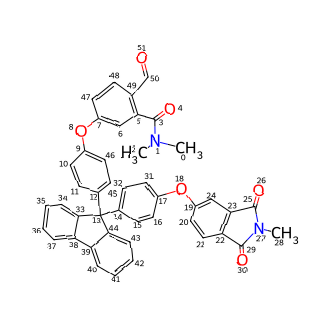 CN(C)C(=O)c1cc(Oc2ccc(C3(c4ccc(Oc5ccc6c(c5)C(=O)N(C)C6=O)cc4)c4ccccc4-c4ccccc43)cc2)ccc1C=O